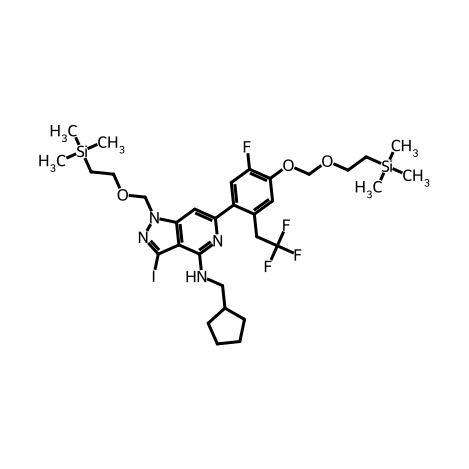 C[Si](C)(C)CCOCOc1cc(CC(F)(F)F)c(-c2cc3c(c(I)nn3COCC[Si](C)(C)C)c(NCC3CCCC3)n2)cc1F